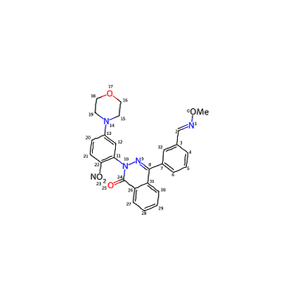 CON=Cc1cccc(-c2nn(-c3cc(N4CCOCC4)ccc3[N+](=O)[O-])c(=O)c3ccccc23)c1